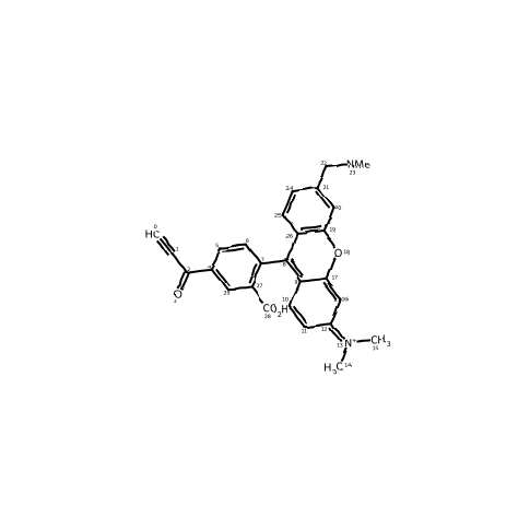 C#CC(=O)c1ccc(-c2c3ccc(=[N+](C)C)cc-3oc3cc(CNC)ccc23)c(C(=O)O)c1